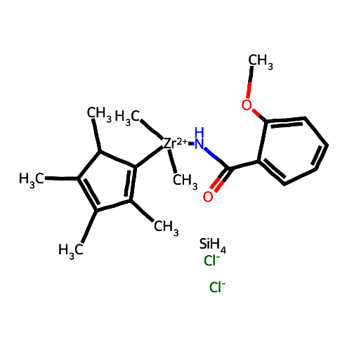 COc1ccccc1C(=O)[NH][Zr+2]([CH3])([CH3])[C]1=C(C)C(C)=C(C)C1C.[Cl-].[Cl-].[SiH4]